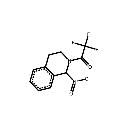 O=C(N1CCc2ccccc2C1[N+](=O)[O-])C(F)(F)F